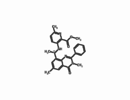 COC(=O)c1nc(C)ccc1N[C@H](C)c1cc(C)cc2c(=O)n(C)c(-c3ccccc3)nc12